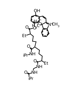 CCC(CCCC(CCCC(CC)C(=O)Oc1ccc(O)c(/C=C\C2=[N+](C)c3ccccc3C2(C)C)c1)C(=O)NC(C)C)C(=O)NCNC(=O)C(C)C